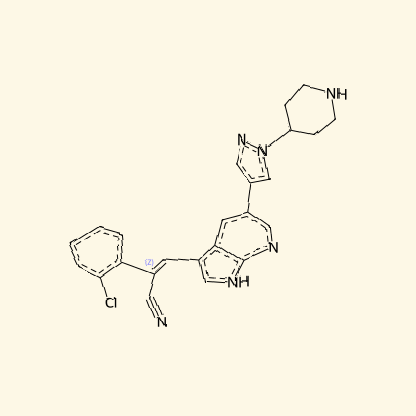 N#C/C(=C\c1c[nH]c2ncc(-c3cnn(C4CCNCC4)c3)cc12)c1ccccc1Cl